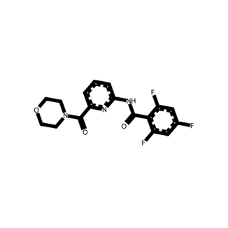 O=C(Nc1cccc(C(=O)N2CCOCC2)n1)c1c(F)cc(F)cc1F